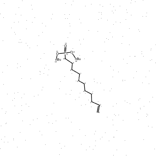 C=CCCCCCCCCCP(=O)(OCCCC)OCCCC